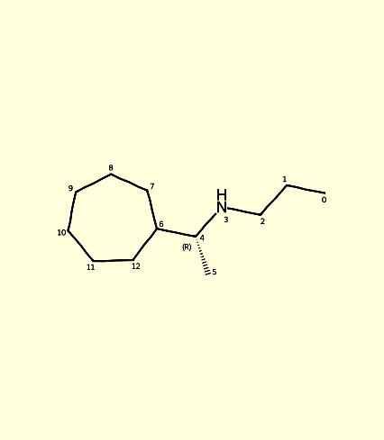 CCCN[C@H](C)C1CCCCCC1